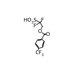 O=C(OCC(F)(F)S(=O)(=O)O)c1ccc(C(F)(F)F)cc1